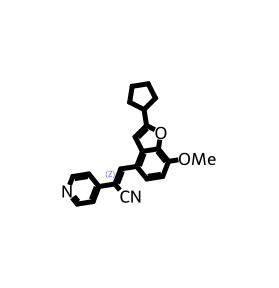 COc1ccc(/C=C(\C#N)c2ccncc2)c2cc(C3CCCC3)oc12